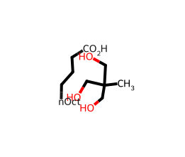 CC(CO)(CO)CO.CCCCCCCCCCCC(=O)O